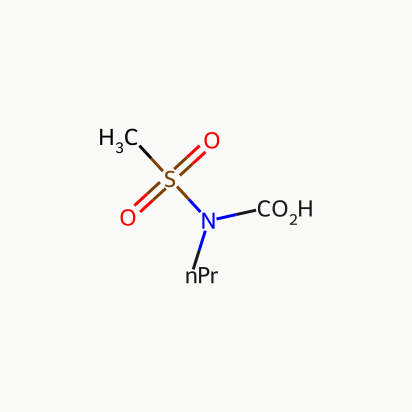 CCCN(C(=O)O)S(C)(=O)=O